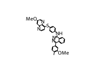 COc1cnc2c(Sc3ccc(Nc4nnc(-c5ccc(C)c(OC)c5)c5ccccc45)cc3)ccnc2c1